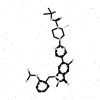 C[C@@H]1CN(c2ncc(-c3cc4c(cc3F)c(=O)n(C)n4Cc3ccccc3OC(F)F)cn2)CCN1C(=O)OC(C)(C)C